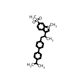 CC(C)c1ccc(-c2ccc(CC(C)c3cn(C)c4cc(S(C)(=O)=O)ccc34)cc2)cc1